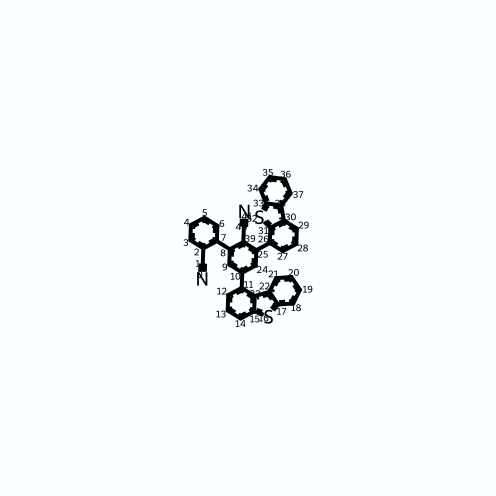 N#Cc1ccccc1-c1cc(-c2cccc3sc4ccccc4c23)cc(-c2cccc3c2sc2ccccc23)c1C#N